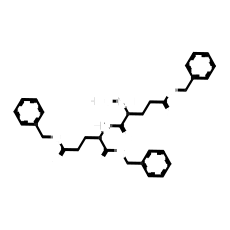 O=CNC(CCC(=O)OCc1ccccc1)C(=O)NC(CCC(=O)OCc1ccccc1)C(=O)OCc1ccccc1